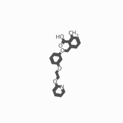 Cc1cccc(COc2cccc(OCCOc3ccccn3)c2)c1C(=O)O